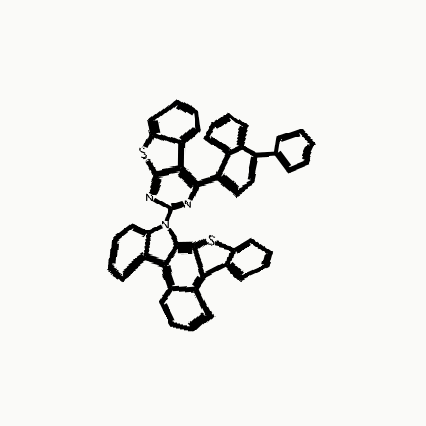 c1ccc(-c2ccc(-c3nc(-n4c5ccccc5c5c6ccccc6c6c7ccccc7sc6c54)nc4sc5ccccc5c34)c3ccccc23)cc1